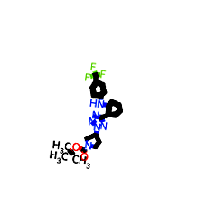 CC(C)(C)OC(=O)N1CCC(n2nnc(-c3ccccc3Nc3ccc(C(F)(F)F)cc3)n2)C1